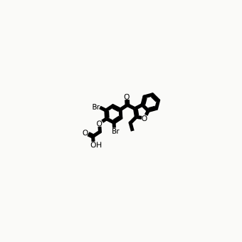 CCc1oc2ccccc2c1C(=O)c1cc(Br)c(OCC(=O)O)c(Br)c1